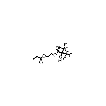 CCC(=O)OCCOC(=O)C(O)(C(F)(F)F)C(F)(F)F